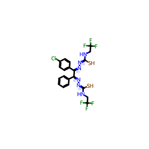 FC(F)(F)CN/C(S)=N/N=C(/C(=N/N=C(\S)NCC(F)(F)F)c1ccc(Cl)cc1)c1ccccc1